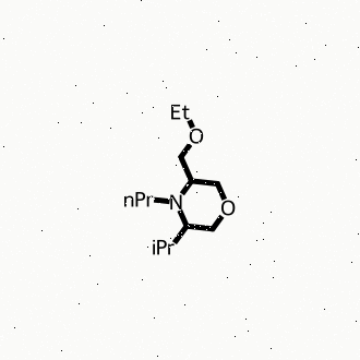 CCCN1C(COCC)COCC1C(C)C